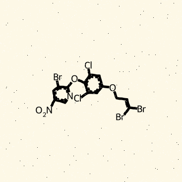 O=[N+]([O-])c1cnc(Oc2c(Cl)cc(OCC=C(Br)Br)cc2Cl)c(Br)c1